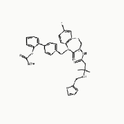 CNC(=O)Oc1ccccc1-c1ccc(CN2C(=O)[C@H](NC(=O)CC(C)(C)NCc3ccco3)CCc3cc(F)ccc32)cc1